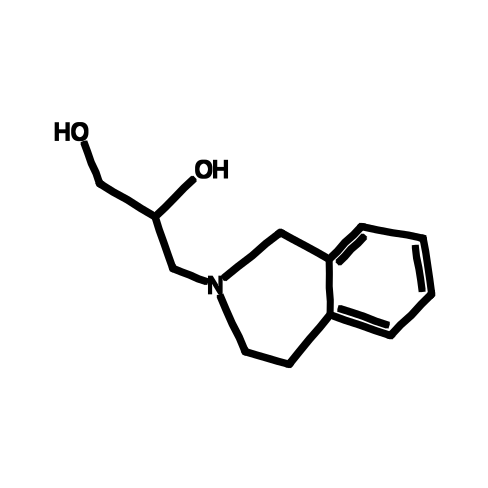 OCC(O)CN1CCc2ccccc2C1